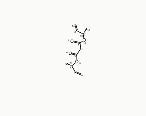 C=C[C@@H](C)OC(=O)CC(=O)O[C@H](C)C=C